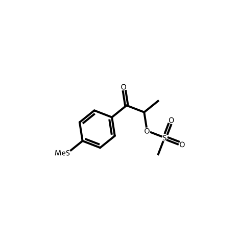 CSc1ccc(C(=O)C(C)OS(C)(=O)=O)cc1